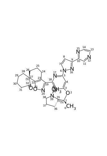 C[C@H](Oc1cc(-n2ccc(-c3cnccn3)n2)nc(-c2noc3c2CCC[C@@]32CCCCC2=O)n1)[C@@H]1CCCN1C